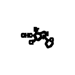 O=Cc1c(Cl)cc2c(cnn2C2CCCCO2)c1Br